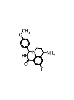 COc1ccc(C2NC(=O)c3cc(F)cc4c3N2CCC4N)cc1